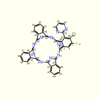 Fc1cc2c3nc4nc(nc5[nH]c(nc6nc(nc([nH]3)c2c(-c2ncccn2)c1Cl)-c1ccccc1-6)c1ccccc51)-c1ccccc1-4